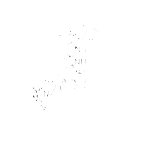 Cc1ccc(-n2nc(C(C)(C)C)cc2NC(=O)N[C@H]2CC[C@@H](Oc3ccc4nnc(N5CCCCCC5)n4c3)c3ccccc32)cc1